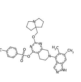 Cc1ccc(S(=O)(=O)Oc2nc(OCC34CCCN3CCC4)nc3c2CCN(c2c(C)c(C)cc4[nH]ncc24)C3)cc1